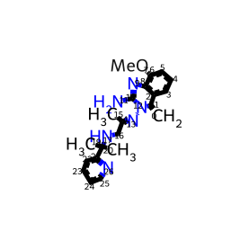 C=C1c2cccc(OC)c2N=C(N)N1/N=C(\C)CNC(C)(C)c1ccccn1